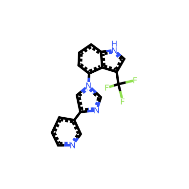 FC(F)(F)c1c[nH]c2cccc(-n3cnc(-c4cccnc4)c3)c12